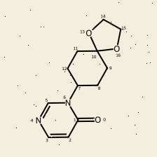 O=c1ccncn1C1CCC2(CC1)OCCO2